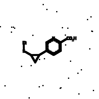 CCSC1CC1c1ccc(C(=O)O)nc1